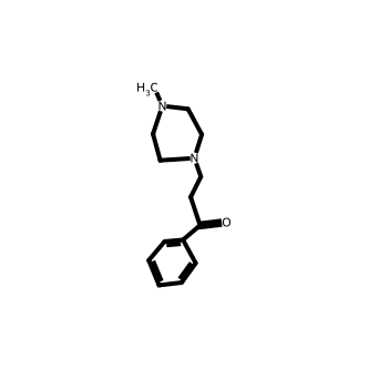 CN1CCN(CCC(=O)c2ccccc2)CC1